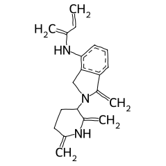 C=CC(=C)Nc1cccc2c1CN(C1CCC(=C)NC1=C)C2=C